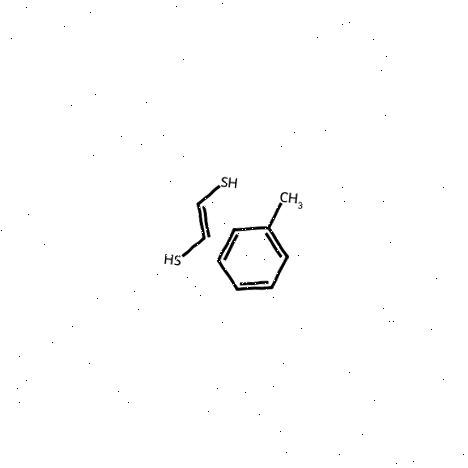 Cc1ccccc1.SC=CS